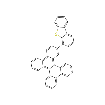 c1ccc2c(c1)sc1c(-c3ccc4c5ccccc5c5c6ccccc6c6ccccc6c5c4c3)cccc12